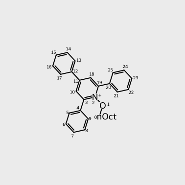 CCCCCCCCO[n+]1c(-c2ccccc2)cc(-c2ccccc2)cc1-c1ccccc1